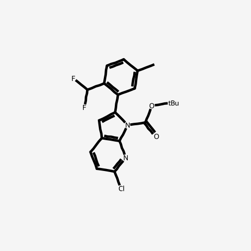 Cc1ccc(C(F)F)c(-c2cc3ccc(Cl)nc3n2C(=O)OC(C)(C)C)c1